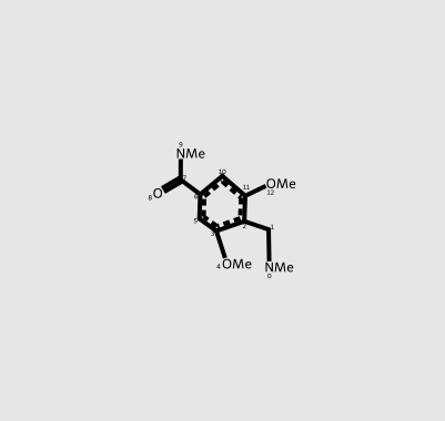 CNCc1c(OC)cc(C(=O)NC)cc1OC